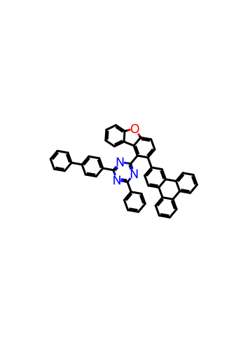 c1ccc(-c2ccc(-c3nc(-c4ccccc4)nc(-c4c(-c5ccc6c7ccccc7c7ccccc7c6c5)ccc5oc6ccccc6c45)n3)cc2)cc1